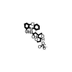 O=C(O)[C@H](c1ccccc1Nc1c(Cl)cccc1Cl)C1CO[C@@H]2[C@H](O[N+](=O)[O-])CO[C@@H]12